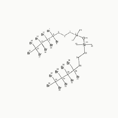 C[Si](C)(CCCC(Br)(Br)C(Br)(Br)C(Br)(Br)C(Br)(Br)Br)O[Si](C)(C)CCCC(Br)(Br)C(Br)(Br)C(Br)(Br)C(Br)(Br)Br